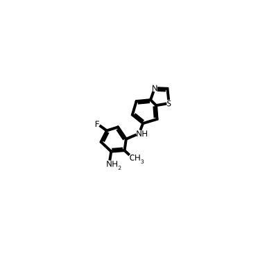 Cc1c(N)cc(F)cc1Nc1ccc2ncsc2c1